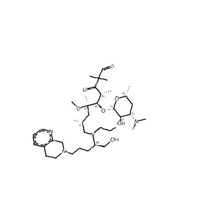 CCCN(C[C@H](C)C[C@@](C)(OC)[C@H](O[C@@H]1O[C@H](C)C[C@H](N(C)C)[C@H]1O)[C@@H](C)C(=O)C(C)(C)C=O)[C@@H](CO)CCCN1CCc2cccnc2C1